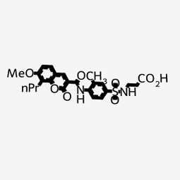 CCCc1c(OC)ccc2cc(C(=O)Nc3ccc(S(=O)(=O)NCCC(=O)O)cc3C)c(=O)oc12